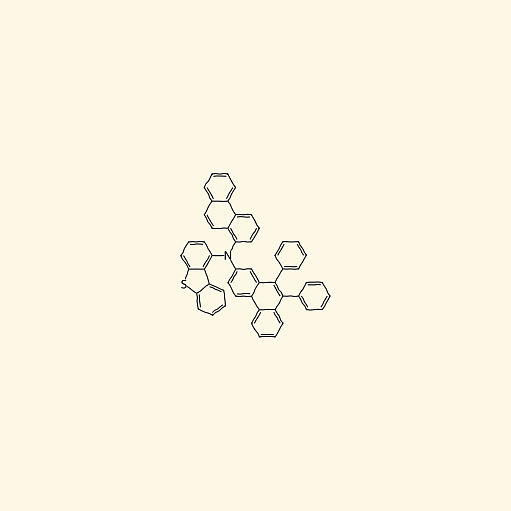 c1ccc(-c2c(-c3ccccc3)c3cc(N(c4cccc5c4ccc4ccccc45)c4cccc5sc6ccccc6c45)ccc3c3ccccc23)cc1